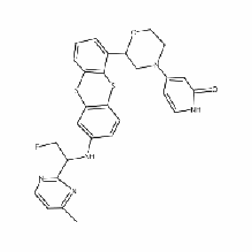 Cc1ccnc(C(CF)Nc2ccc3c(c2)Sc2cccc(C4CN(c5cc[nH]c(=O)c5)CCO4)c2S3)n1